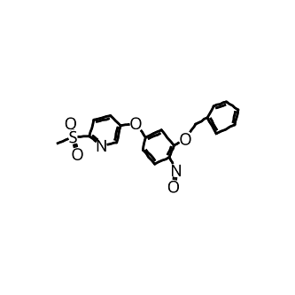 CS(=O)(=O)c1ccc(Oc2ccc(N=O)c(OCc3ccccc3)c2)cn1